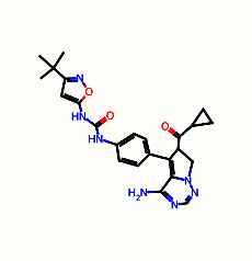 CC(C)(C)c1cc(NC(=O)Nc2ccc(C3=C4C(N)=NC=NN4CC3C(=O)C3CC3)cc2)on1